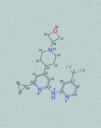 FC(F)c1ccnc(Nc2cc(C3CCN(C4COC4)CC3)cc(C3CC3)n2)c1